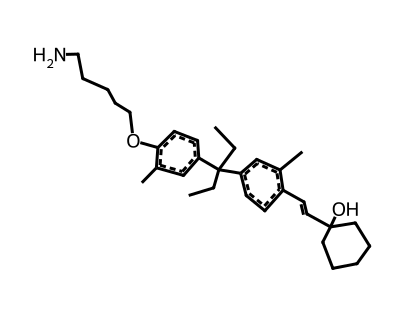 CCC(CC)(c1ccc(C=CC2(O)CCCCC2)c(C)c1)c1ccc(OCCCCCN)c(C)c1